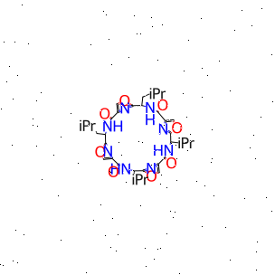 CC(C)CC1NC(=O)c2coc(n2)C(C(C)C)NC(=O)c2coc(n2)C(C(C)C)NC(=O)c2coc(n2)C(CC(C)C)NC(=O)c2coc1n2